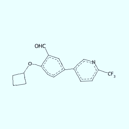 O=Cc1cc(-c2ccc(C(F)(F)F)nc2)ccc1OC1CCC1